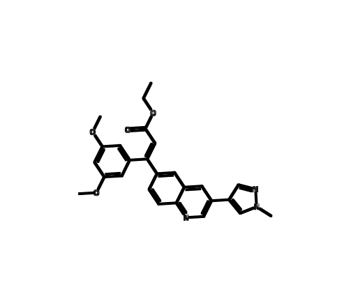 CCOC(=O)C=C(c1cc(OC)cc(OC)c1)c1ccc2ncc(-c3cnn(C)c3)cc2c1